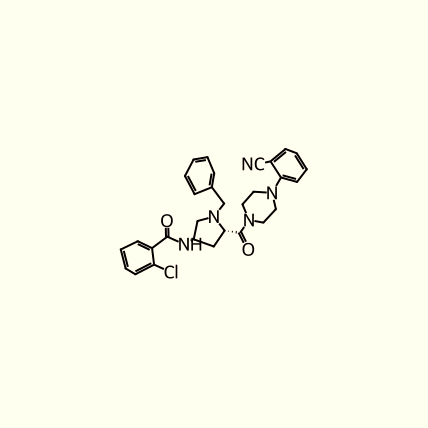 N#Cc1ccccc1N1CCN(C(=O)[C@@H]2C[C@H](NC(=O)c3ccccc3Cl)CN2Cc2ccccc2)CC1